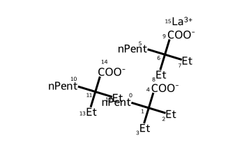 CCCCCC(CC)(CC)C(=O)[O-].CCCCCC(CC)(CC)C(=O)[O-].CCCCCC(CC)(CC)C(=O)[O-].[La+3]